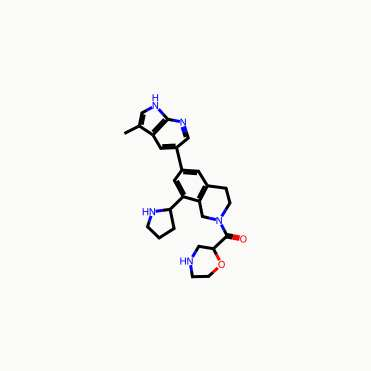 Cc1c[nH]c2ncc(-c3cc4c(c(C5CCCN5)c3)CN(C(=O)C3CNCCO3)CC4)cc12